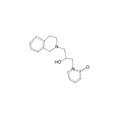 O=c1ccccn1CC(O)CN1CCc2ccccc2C1